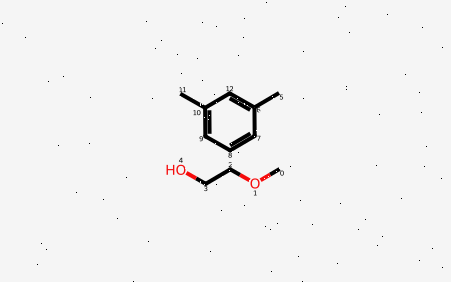 COCCO.Cc1cccc(C)c1